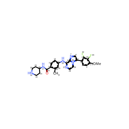 COc1ccc(-c2cnc3c(Nc4ccc(C(=O)NC5CCNCC5)c(C)c4)nccn23)c(F)c1F